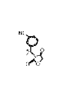 C[C@H](c1cccc(C#N)c1)N1C(=O)COC1=O